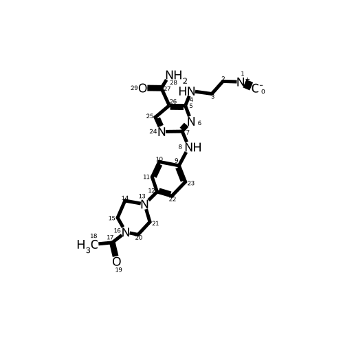 [C-]#[N+]CCNc1nc(Nc2ccc(N3CCN(C(C)=O)CC3)cc2)ncc1C(N)=O